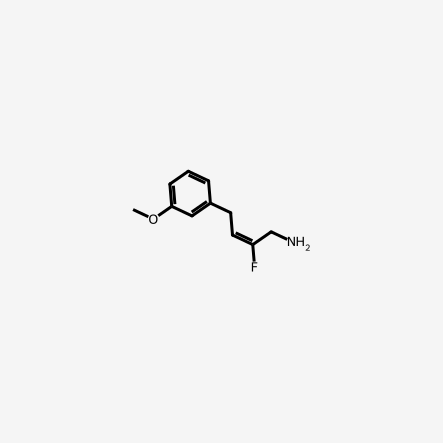 COc1cccc(C/C=C(/F)CN)c1